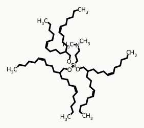 CCCCC/C=C\CCCC(CCC/C=C\CCCCC)CO[Si](CCCN(C)C)(OCC(CCC/C=C\CCCCC)CCC/C=C\CCCCC)OCC(CCC/C=C\CCCCC)CCC/C=C\CCCCC